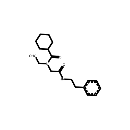 O=CCN(CC(=O)NCCc1ccccc1)C(=O)C1CCCCC1